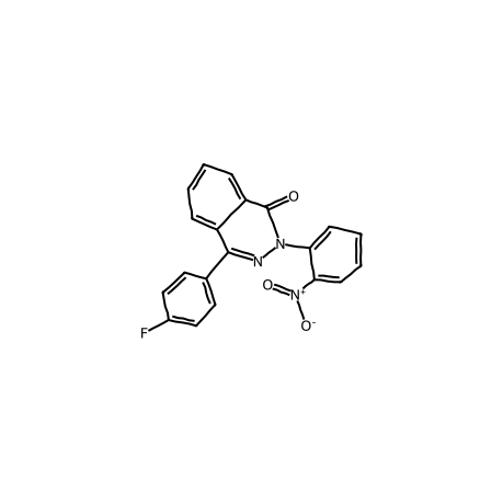 O=c1c2ccccc2c(-c2ccc(F)cc2)nn1-c1ccccc1[N+](=O)[O-]